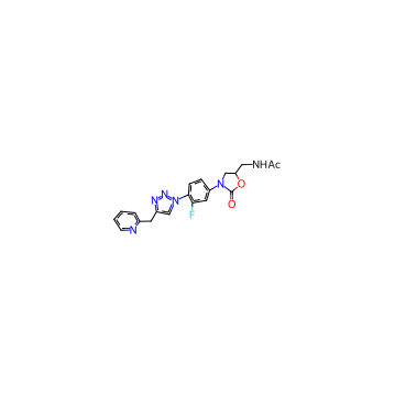 CC(=O)NCC1CN(c2ccc(-n3cc(Cc4ccccn4)nn3)c(F)c2)C(=O)O1